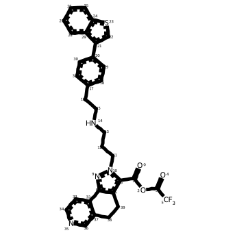 O=C(OC(=O)C(F)(F)F)c1c2c(nn1CCCNCCc1ccc(-c3csc4ccccc34)cc1)-c1ccncc1CC2